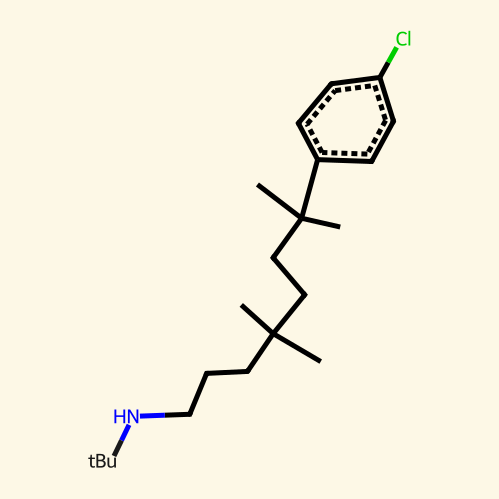 CC(C)(CCCNC(C)(C)C)CCC(C)(C)c1ccc(Cl)cc1